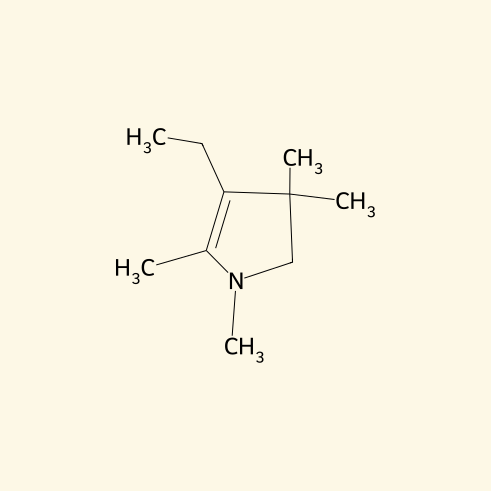 CCC1=C(C)N(C)CC1(C)C